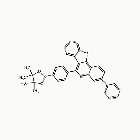 CC1(C)OB(c2ccc(-c3nc4cc(-c5ccccc5)ccc4c4sc5ccccc5c34)cc2)OC1(C)C